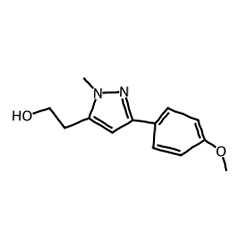 COc1ccc(-c2cc(CCO)n(C)n2)cc1